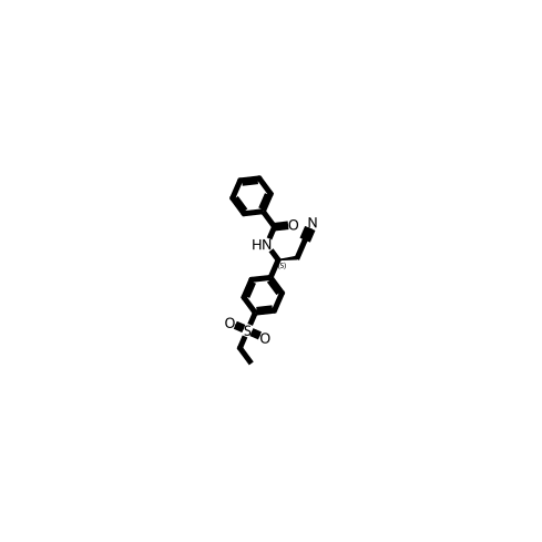 CCS(=O)(=O)c1ccc([C@H](CC#N)NC(=O)c2ccccc2)cc1